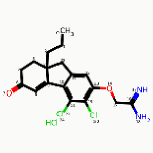 CCCC12CCC(=O)C=C1c1c(cc(OCC(=N)N)c(Cl)c1Cl)C2.Cl